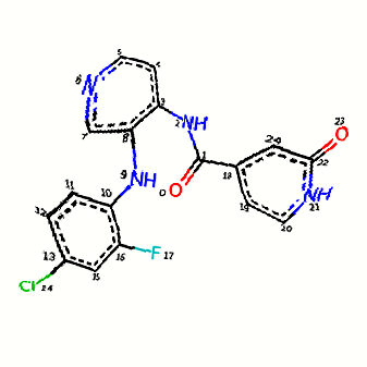 O=C(Nc1ccncc1Nc1ccc(Cl)cc1F)c1cc[nH]c(=O)c1